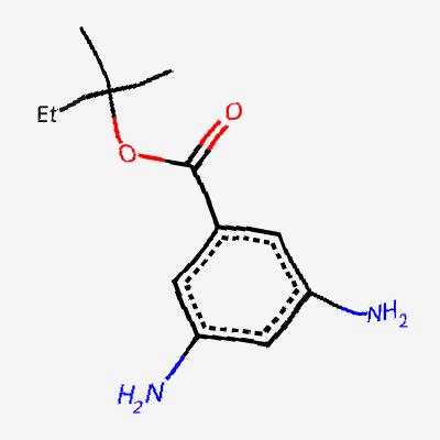 CCC(C)(C)OC(=O)c1cc(N)cc(N)c1